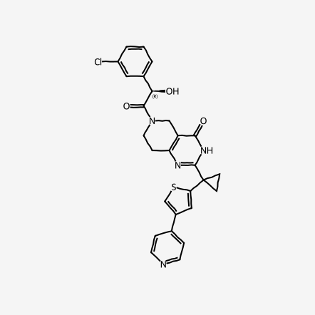 O=C([C@H](O)c1cccc(Cl)c1)N1CCc2nc(C3(c4cc(-c5ccncc5)cs4)CC3)[nH]c(=O)c2C1